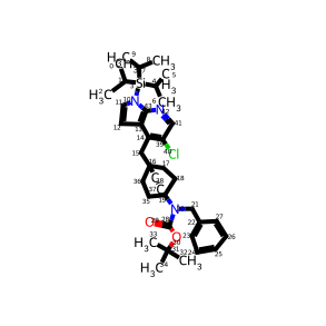 CC(C)[Si](C(C)C)(C(C)C)n1ccc2c(CC34CCC(N(Cc5ccccc5)C(=O)OC(C)(C)C)(CC3)CC4)c(Cl)cnc21